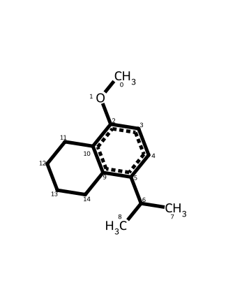 COc1ccc(C(C)C)c2c1CCCC2